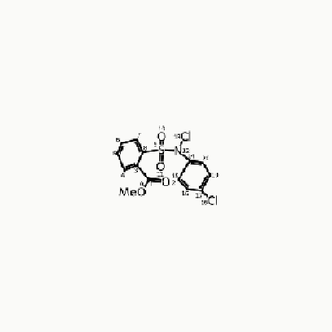 COC(=O)c1ccccc1S(=O)(=O)N(Cl)c1ccc(Cl)cc1